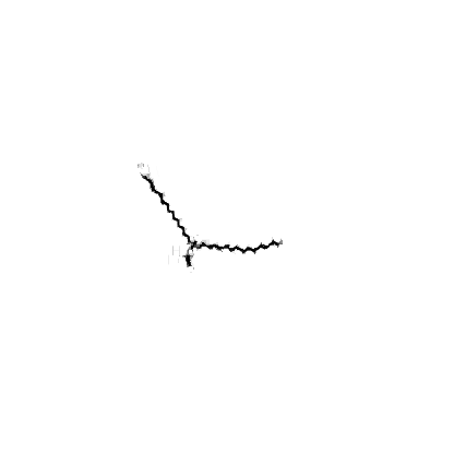 CC(=O)[O-].CCCCCCCCCCCCCCCC[N+](C)(C)CCCCCCCCCCCCCCCC